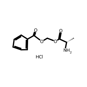 C[C@H](N)C(=O)OCOC(=O)c1ccccc1.Cl